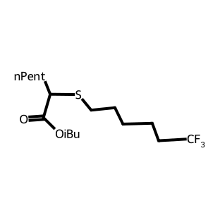 CCCCCC(SCCCCCC(F)(F)F)C(=O)OCC(C)C